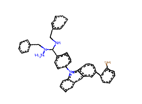 NN(Cc1ccccc1)C(NCc1ccccc1)c1ccc(-n2c3ccccc3c3cc(-c4ccccc4S)ccc32)cc1